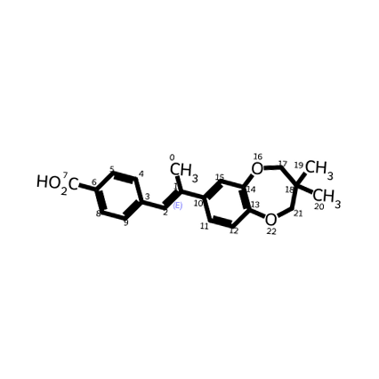 C/C(=C\c1ccc(C(=O)O)cc1)c1ccc2c(c1)OCC(C)(C)CO2